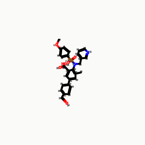 COc1ccc(S(=O)(=O)N(Cc2cccnc2)c2c(C)cc(-c3ccc(C=O)cc3)cc2C(=O)O)cc1